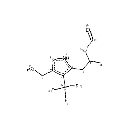 CC(Cc1[nH]nc(CO)c1C(F)(F)F)OC=O